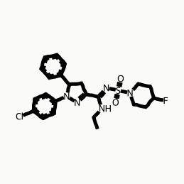 CCNC(=NS(=O)(=O)N1CCC(F)CC1)C1=NN(c2ccc(Cl)cc2)C(c2ccccc2)C1